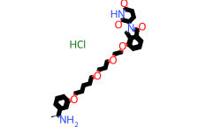 C[C@@H](N)c1cccc(OCCCCCOCCCOCCOc2cccc3c2CN(C2CCC(=O)NC2=O)C3=O)c1.Cl